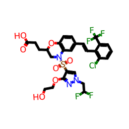 O=C(O)CCC1CN(S(=O)(=O)c2cn(CC(F)F)nc2OCCO)c2cc(C=Cc3c(Cl)cccc3C(F)(F)F)ccc2O1